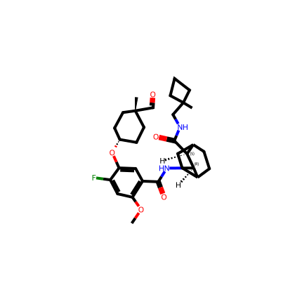 COc1cc(F)c(O[C@H]2CC[C@@](C)(C=O)CC2)cc1C(=O)N[C@@H]1C2CCC(CC2)[C@@H]1C(=O)NCC1(C)CCC1